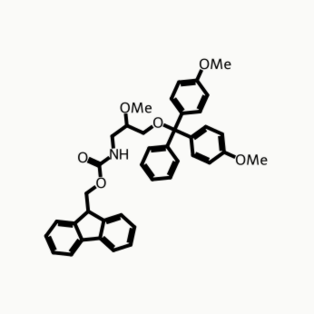 COc1ccc(C(OCC(CNC(=O)OCC2c3ccccc3-c3ccccc32)OC)(c2ccccc2)c2ccc(OC)cc2)cc1